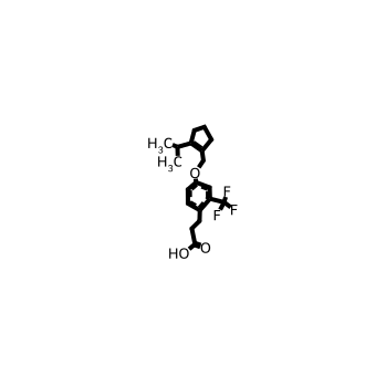 CC(C)C1=C(COc2ccc(CCC(=O)O)c(C(F)(F)F)c2)CCC1